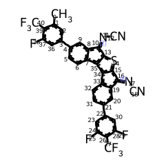 Cc1cc(-c2ccc3c(c2)/c(=N/C#N)c2sc4/c(=N/C#N)c5cc(-c6cc(F)c(C(F)(F)F)c(F)c6)ccc5c4c23)cc(F)c1C(F)(F)F